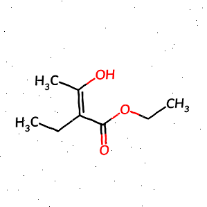 CCOC(=O)C(CC)=C(C)O